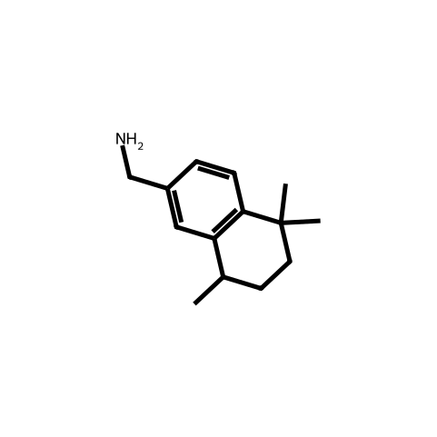 CC1CCC(C)(C)c2ccc(CN)cc21